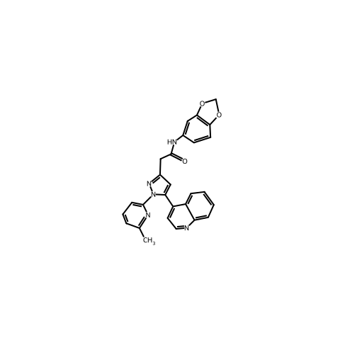 Cc1cccc(-n2nc(CC(=O)Nc3ccc4c(c3)OCO4)cc2-c2ccnc3ccccc23)n1